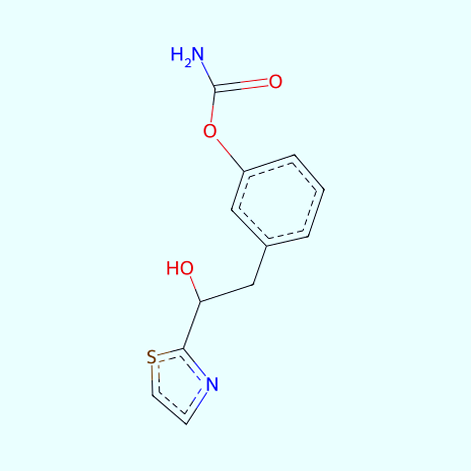 NC(=O)Oc1cccc(CC(O)c2nccs2)c1